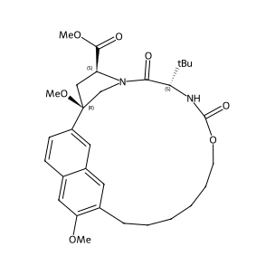 COC(=O)[C@@H]1C[C@]2(OC)CN1C(=O)[C@H](C(C)(C)C)NC(=O)OCCCCCCc1cc3cc2ccc3cc1OC